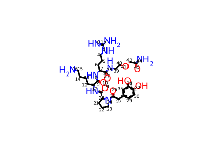 N=C(N)NCCCC(NC(=O)C(CCCCN)NC(=O)[C@@H]1CCCN1C(=O)Cc1ccc(O)c(O)c1)C(=O)NCCOCC(N)=O